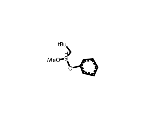 CO[SiH](CC(C)(C)C)Oc1ccccc1